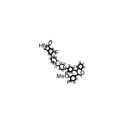 COc1cc(C2COc3ccccc3C2c2ccc(N3CCC(CN4CCN(c5cc6c(cc5F)C(=O)NC6)CC4)CC3)c(F)c2)ccc1F